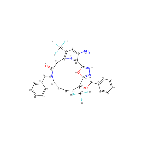 Nc1cc(C(F)(F)F)c2nc1-c1nnc(o1)C(OCc1ccccc1)(C(F)(F)F)CCCCN(Cc1ccccc1)C(=O)C2